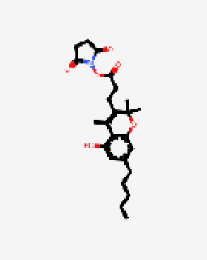 CCCCCc1cc(O)c2c(c1)OC(C)(C)C(CCC(=O)ON1C(=O)CCC1=O)=C2C